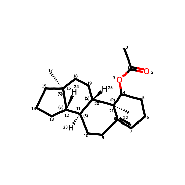 CC(=O)OC1CCC=C2CC[C@H]3[C@@H]4CCC[C@@]4(C)CC[C@@H]3[C@]21C